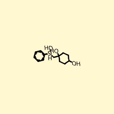 OC1CCC(O)(C[SiH](O)c2ccccc2)CC1